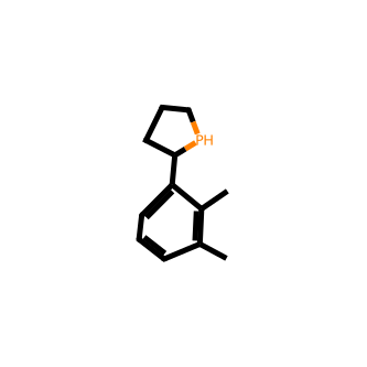 Cc1cccc(C2CCCP2)c1C